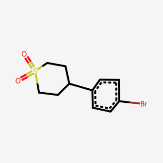 O=S1(=O)CCC(c2ccc(Br)cc2)CC1